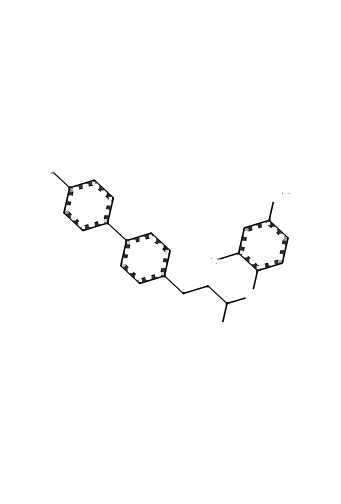 COc1ccc(OC(CCc2ccc(-c3ccc(Cl)cc3)cc2)C(=O)O)c([N+](=O)[O-])c1